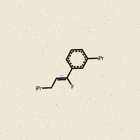 CC(C)C/C=C(\F)c1cccc(C(C)C)c1